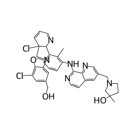 Cc1c(Nc2nccc3cc(CN4CCC(C)(O)C4)cnc23)cccc1C1N=CC=CC1(Cl)c1nc2cc(CO)cc(Cl)c2o1